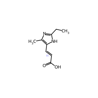 CCc1nc(C)c(/C=C/C(=O)O)[nH]1